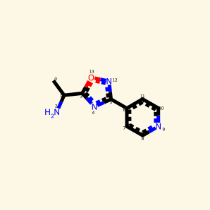 CC(N)c1nc(-c2ccncc2)no1